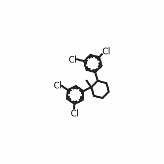 CC1(c2cc(Cl)cc(Cl)c2)CCCCC1c1cc(Cl)cc(Cl)c1